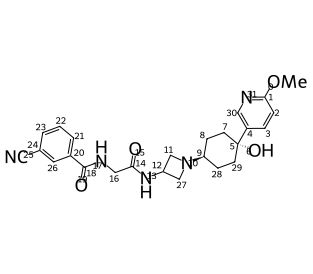 COc1ccc([C@]2(O)CC[C@H](N3CC(NC(=O)CNC(=O)c4cccc(C#N)c4)C3)CC2)cn1